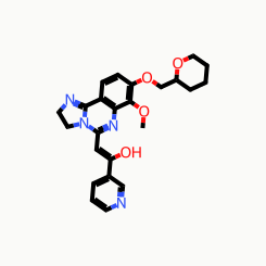 COc1c(OCC2CCCCO2)ccc2c1N=C(/C=C(\O)c1cccnc1)N1CCN=C21